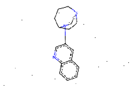 c1ccc2ncc(N3CCN4CCCC3CC4)cc2c1